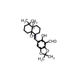 CC1(C)Oc2cc(/C=C3\CCC[C@H]4C(C)(C)CCCC34C)c(O)c(C=O)c2O1